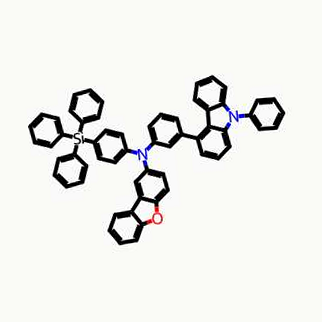 c1ccc(-n2c3ccccc3c3c(-c4cccc(N(c5ccc([Si](c6ccccc6)(c6ccccc6)c6ccccc6)cc5)c5ccc6oc7ccccc7c6c5)c4)cccc32)cc1